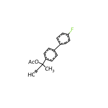 C#CC(C)(OC(C)=O)c1ccc(-c2ccc(F)cc2)cc1